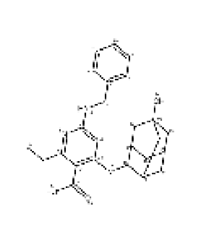 CCc1nc(NCc2ccccc2)cc(NC2C3CC4CC2CC(O)(C4)C3)c1C(=O)O